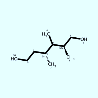 CC([C@H](C)CO)[C@H](C)CCO